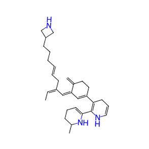 C=C1CCC(C2=C(C3=CCCC(C)N3)NC=CC2)=C/C1=C/C(=C\C)C/C=C/CCCC1CNC1